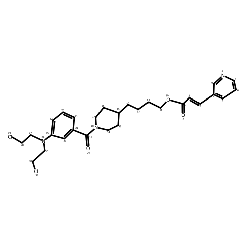 O=C(C=Cc1cccnc1)OCCCCC1CCN(C(=O)c2cccc(N(CCCl)CCCl)c2)CC1